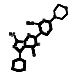 COc1nc(N2CCOCC2)ccc1-c1nc2c(c(-c3ccccc3)nn2C)c(=O)[nH]1